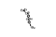 CCN(CC)CCOC(=O)c1ccc(NC(=O)c2ccc(C#CC(C)(C)C)cc2)cc1